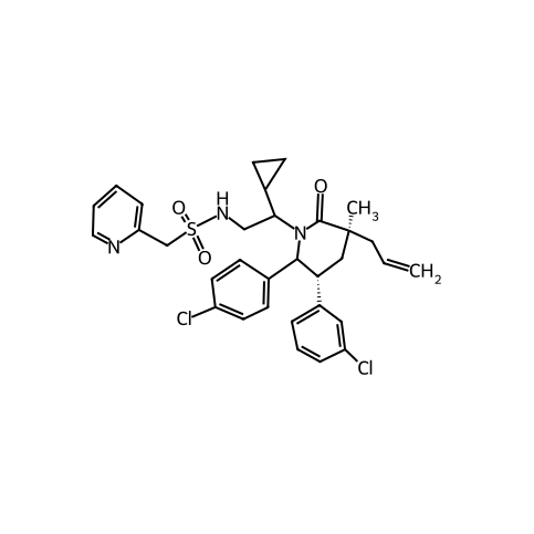 C=CC[C@@]1(C)C[C@H](c2cccc(Cl)c2)C(c2ccc(Cl)cc2)N(C(CNS(=O)(=O)Cc2ccccn2)C2CC2)C1=O